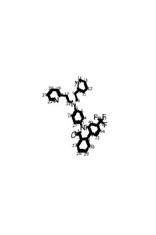 O=C(Nc1ccc(N(CCc2ccccn2)CCc2ccccn2)cc1)c1ccccc1-c1ccc(C(F)(F)F)cc1